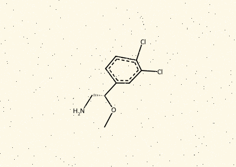 CO[C@H](CN)c1ccc(Cl)c(Cl)c1